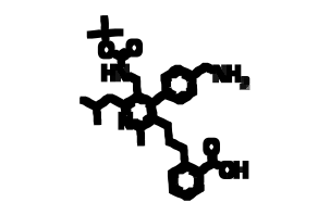 Cc1nc(CC(C)C)c(CNC(=O)OC(C)(C)C)c(-c2ccc(CN)cc2)c1CCCc1ccccc1C(=O)O